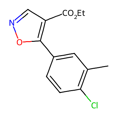 CCOC(=O)c1cnoc1-c1ccc(Cl)c(C)c1